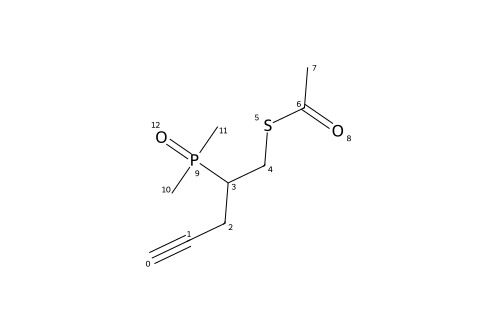 C#CCC(CSC(C)=O)P(C)(C)=O